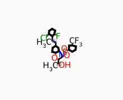 C/C(=C\c1ccc2c(c1)N(S(=O)(=O)c1cccc(C(F)(F)F)c1)CC([C@H](C)O)O2)c1c(F)cccc1Cl